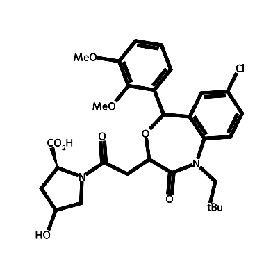 COc1cccc(C2OC(CC(=O)N3CC(O)C[C@H]3C(=O)O)C(=O)N(CC(C)(C)C)c3ccc(Cl)cc32)c1OC